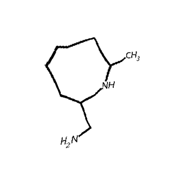 CC1CCCCC(CN)N1